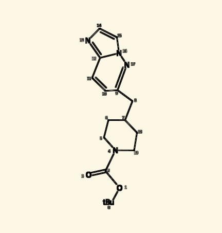 CC(C)(C)OC(=O)N1CCC(Cc2ccc3nccn3n2)CC1